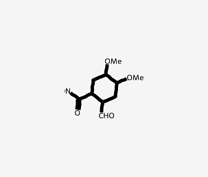 COC1CC(C=O)C(C([N])=O)CC1OC